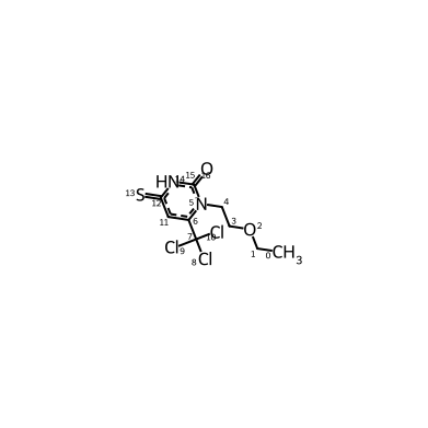 CCOCCn1c(C(Cl)(Cl)Cl)cc(=S)[nH]c1=O